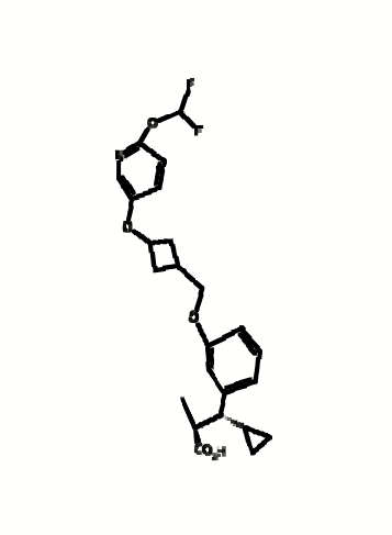 C[C@H](C(=O)O)[C@H](c1cccc(OCC2CC(Oc3ccc(OC(F)F)nc3)C2)c1)C1CC1